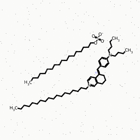 CCCCCCCCCCCCCCCCCCOS(=O)(=O)[O-].CCCCCCCCCCCCCCCCCC[n+]1ccc2c(c1)CCC/C2=C\c1ccc(N(CCCC)CCCC)cc1